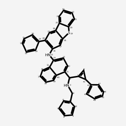 C1=C(C(NCc2ccccc2)c2ccc(Nc3cc4sc5ccccc5c4cc3-c3ccccc3)c3ccccc23)C1c1ccccc1